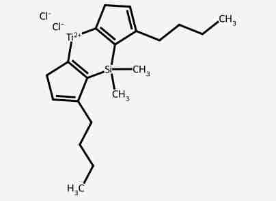 CCCCC1=CC[C]2=C1[Si](C)(C)C1=[C](CC=C1CCCC)[Ti+2]2.[Cl-].[Cl-]